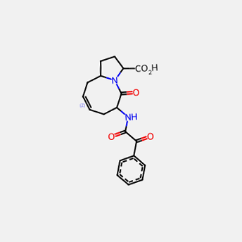 O=C(NC1C/C=C\CC2CCC(C(=O)O)N2C1=O)C(=O)c1ccccc1